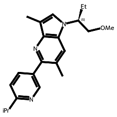 CC[C@@H](COC)n1cc(C)c2nc(-c3ccc(C(C)C)nc3)c(C)cc21